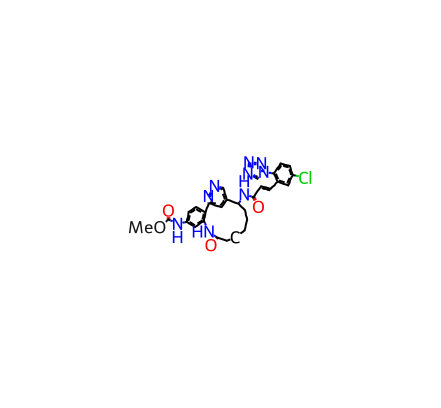 COC(=O)Nc1ccc2c(c1)NC(=O)CCCCCC(NC(=O)/C=C/c1cc(Cl)ccc1-n1cnnn1)c1cnnc-2c1